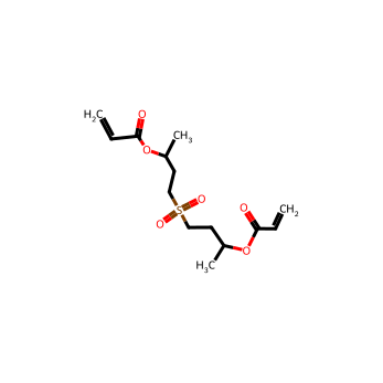 C=CC(=O)OC(C)CCS(=O)(=O)CCC(C)OC(=O)C=C